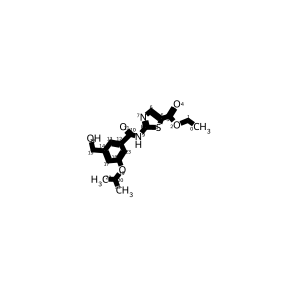 CCOC(=O)c1cnc(NC(=O)c2cc(CO)cc(OC(C)C)c2)s1